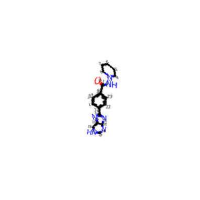 O=C(NN1CCCCC1)c1ccc(-c2nc3c[nH]cnc-3n2)cc1